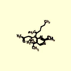 CCCCC(C)N(c1nc(C)ncc1C(C)C)C(C)CC(C)=O